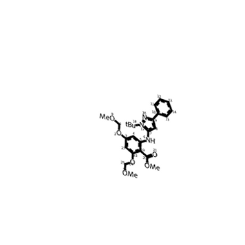 COCOc1cc(Nc2cc(-c3ccccc3)nn2C(C)(C)C)c(C(=O)OC)c(OCOC)c1